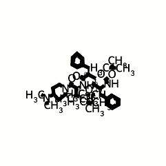 CC(C)[C@H](NC(=O)[C@@H](Cc1ccccc1)C[C@@H](O[Si](C)(C)C(C)(C)C)[C@H](Cc1ccccc1)NC(=O)OC(C)(C)C)C(=O)N1CCC(N(C)C)CC1